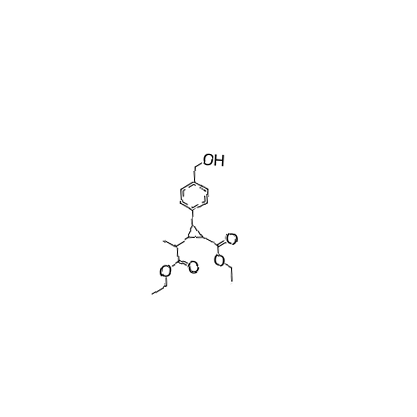 CCOC(=O)C(C)C1C(C(=O)OCC)C1c1ccc(CO)cc1